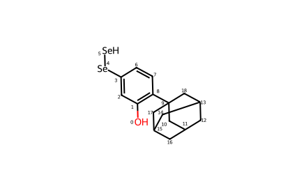 Oc1cc([Se][SeH])ccc1C12CC3CC(CC(C3)C1)C2